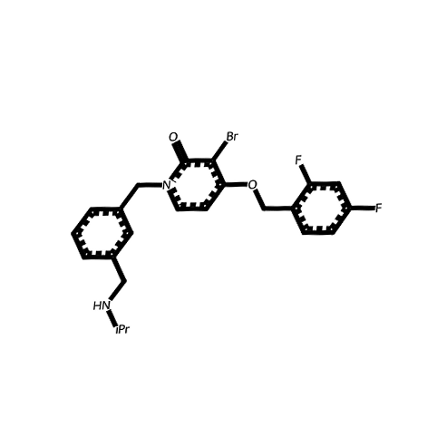 CC(C)NCc1cccc(Cn2ccc(OCc3ccc(F)cc3F)c(Br)c2=O)c1